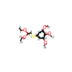 CCOC(CSc1cc(OC)c(OC)c(OC)c1)OCC